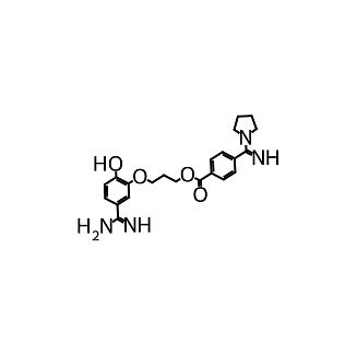 N=C(N)c1ccc(O)c(OCCCOC(=O)c2ccc(C(=N)N3CCCC3)cc2)c1